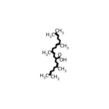 CC(C)=CCCC(C)=CCCC(C)=CCC(CC=C(C)CCC=C(C)C)C(=O)O